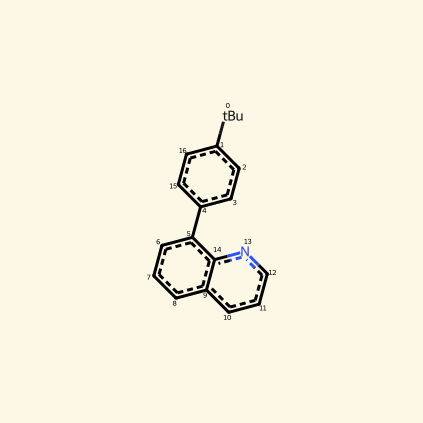 CC(C)(C)c1ccc(-c2cccc3cccnc23)cc1